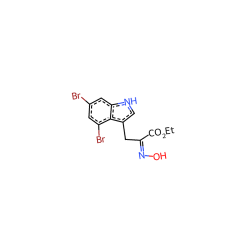 CCOC(=O)/C(Cc1c[nH]c2cc(Br)cc(Br)c12)=N\O